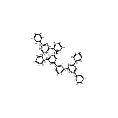 N#Cc1cc(-c2cccc(-c3nc(-c4ccccc4)nc(-c4ccccc4)n3)c2)cc(-c2ccccc2-c2nc(-c3ccccc3)nc(-c3ccccc3)n2)c1